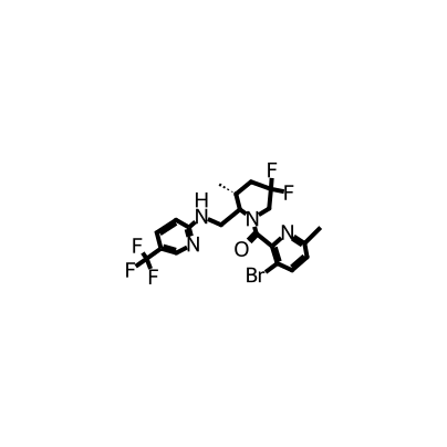 Cc1ccc(Br)c(C(=O)N2CC(F)(F)C[C@@H](C)C2CNc2ccc(C(F)(F)F)cn2)n1